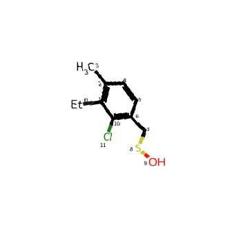 CCc1c(C)ccc(CSO)c1Cl